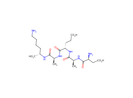 C[C@H](NC(=O)[C@H](CCC(=O)O)NC(=O)[C@H](C)NC(=O)[C@@H](N)CC(=O)O)C(=O)N[C@@H](CCCCN)C(=O)O